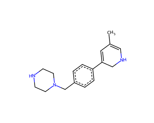 CC1=CNCC(c2ccc(CN3CCNCC3)cc2)=C1